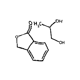 CC(O)CO.O=C1OCc2ccccc21